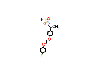 CC(CNS(=O)(=O)C(C)C)c1ccc(OCCOc2ccc(F)cc2)cc1